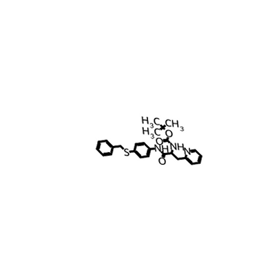 CC(C)(C)OC(=O)NC(Cc1ccccn1)C(=O)Nc1ccc(SCc2ccccc2)cc1